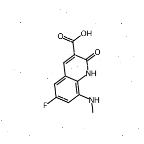 CNc1cc(F)cc2cc(C(=O)O)c(=O)[nH]c12